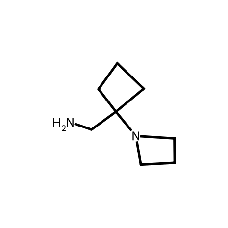 NCC1(N2CCC2)CCC1